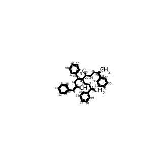 C=C(CCC(=C(CC(C)=Cc1ccccc1)c1ccccc1)C(C)CCC(=C)c1ccccc1)c1ccccc1